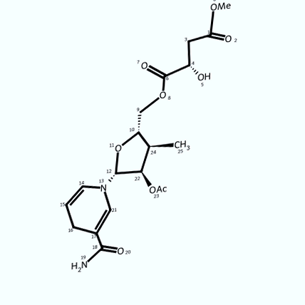 COC(=O)C[C@H](O)C(=O)OC[C@H]1O[C@@H](N2C=CCC(C(N)=O)=C2)[C@H](OC(C)=O)[C@@H]1C